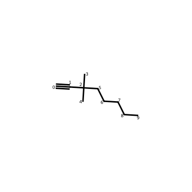 C#CC(C)(C)CCCCC